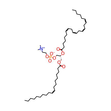 CCCCC/C=C\C/C=C\C/C=C\C/C=C\CCCCCC(=O)O[C@H](COC(=O)CCCCCCC/C=C\CCCCCCCCC)COP(=O)([O-])OCC[N+](C)(C)C